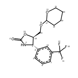 O=C1N[C@@H](c2cccc(C(F)(F)F)c2)[C@H](COC2CCCCO2)O1